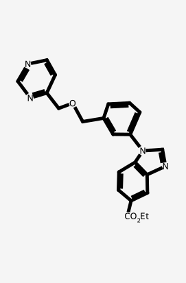 CCOC(=O)c1ccc2c(c1)ncn2-c1cccc(COCc2ccncn2)c1